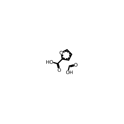 O=C(O)c1ccco1.O=CO